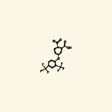 O=C(O)c1cc(Oc2ccc(C(F)(F)F)cc2C(F)(F)F)ccc1[N+](=O)[O-]